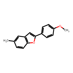 COc1ccc(-c2cc3cc(C)ccc3o2)cc1